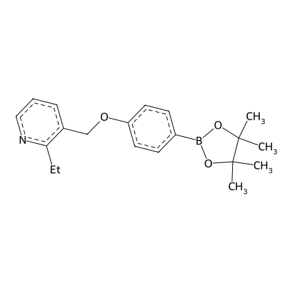 CCc1ncccc1COc1ccc(B2OC(C)(C)C(C)(C)O2)cc1